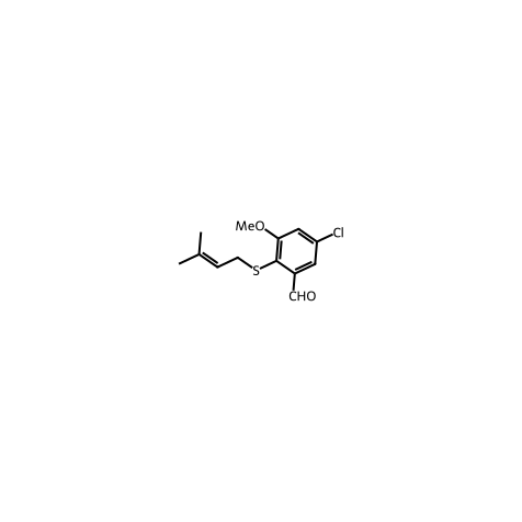 COc1cc(Cl)cc(C=O)c1SCC=C(C)C